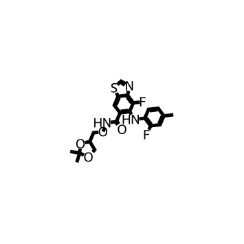 Cc1ccc(Nc2c(C(=O)NOCC3COC(C)(C)O3)cc3scnc3c2F)c(F)c1